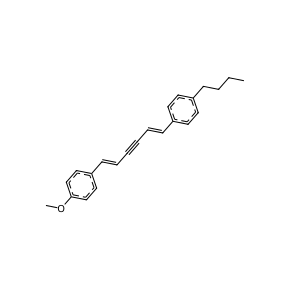 CCCCc1ccc(C=CC#CC=Cc2ccc(OC)cc2)cc1